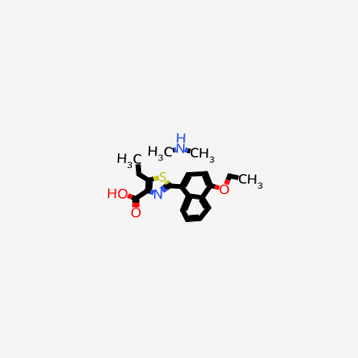 CCOc1ccc(-c2nc(C(=O)O)c(CC)s2)c2ccccc12.CNC